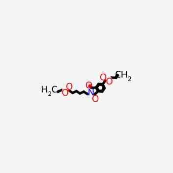 C=CCOC(=O)CCCCCN1C(=O)c2ccc(C(=O)OCC=C)cc2C1=O